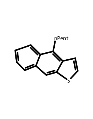 CCCCCc1c2ccccc2cc2sccc12